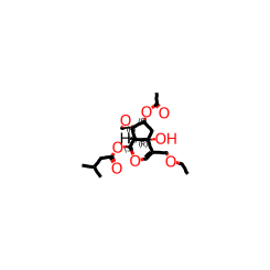 CCOCC1=CO[C@@H](OC(=O)CC(C)C)[C@@H]2[C@@]3(CO3)[C@@H](OC(C)=O)C[C@]12O